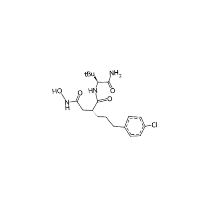 CC(C)(C)[C@H](NC(=O)[C@H](CCCc1ccc(Cl)cc1)CC(=O)NO)C(N)=O